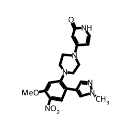 COc1cc(N2CCN(c3cc[nH]c(=O)c3)CC2)c(-c2cnn(C)c2)cc1[N+](=O)[O-]